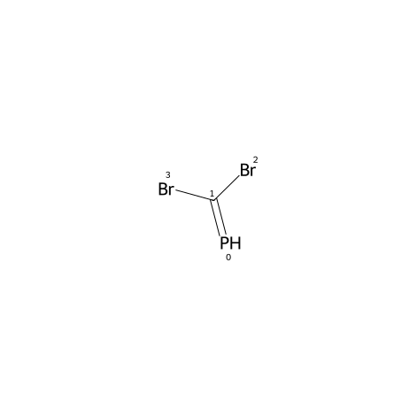 P=C(Br)Br